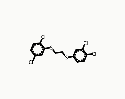 Clc1ccc(Cl)c(S[CH]CSc2ccc(Cl)c(Cl)c2)c1